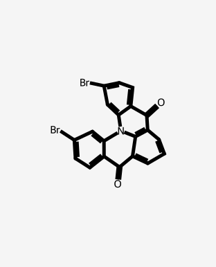 O=c1c2ccc(Br)cc2n2c3cc(Br)ccc3c(=O)c3cccc1c32